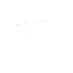 C1CCCCC1.CCCCCCCCS(=O)(=O)O